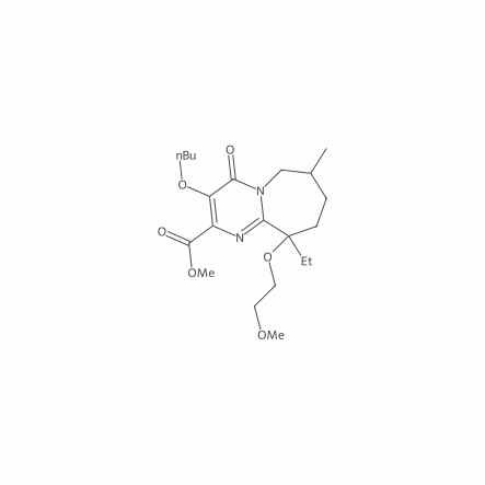 CCCCOc1c(C(=O)OC)nc2n(c1=O)CC(C)CCC2(CC)OCCOC